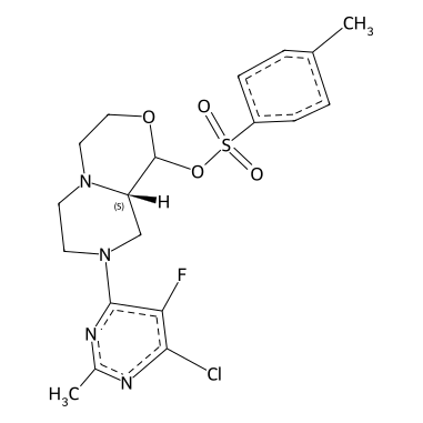 Cc1ccc(S(=O)(=O)OC2OCCN3CCN(c4nc(C)nc(Cl)c4F)C[C@@H]23)cc1